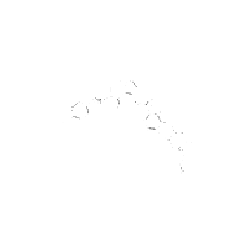 Cc1csc(C(=O)N/N=C/c2ccc(F)cc2)c1NC(=O)c1cccc(CN2CCN(CCO)CC2)c1